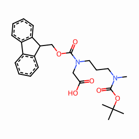 CN(CCCN(CC(=O)O)C(=O)OCC1c2ccccc2-c2ccccc21)C(=O)OC(C)(C)C